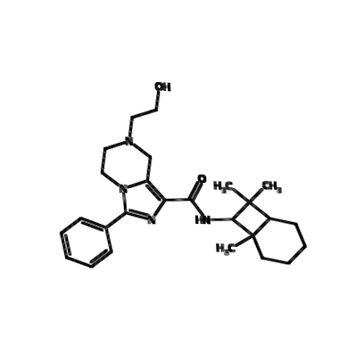 CC1(C)C2CCCCC2(C)C1NC(=O)c1nc(-c2ccccc2)n2c1CN(CCO)CC2